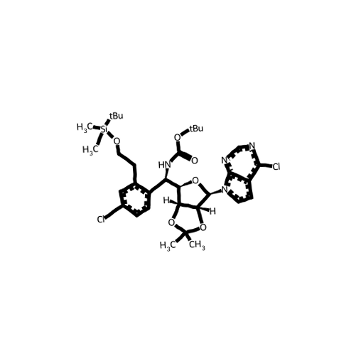 CC(C)(C)OC(=O)N[C@H](c1ccc(Cl)cc1CCO[Si](C)(C)C(C)(C)C)[C@H]1O[C@@H](n2ccc3c(Cl)ncnc32)[C@@H]2OC(C)(C)O[C@@H]21